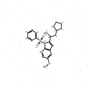 CCSc1cnc2c(c1)cc(C(O)CC1CCCC1)n2S(=O)(=O)c1ccccc1